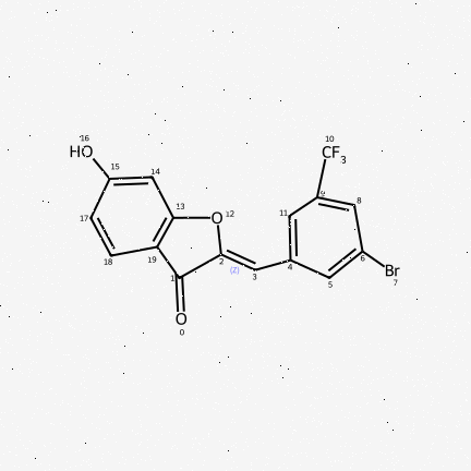 O=C1/C(=C/c2cc(Br)cc(C(F)(F)F)c2)Oc2cc(O)ccc21